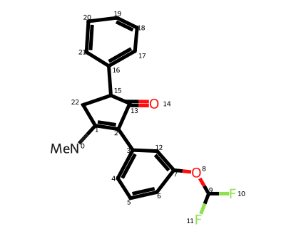 CNC1=C(c2cccc(OC(F)F)c2)C(=O)C(c2ccccc2)C1